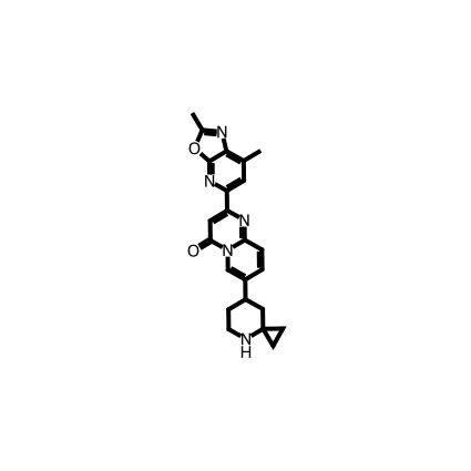 Cc1nc2c(C)cc(-c3cc(=O)n4cc(C5CCNC6(CC6)C5)ccc4n3)nc2o1